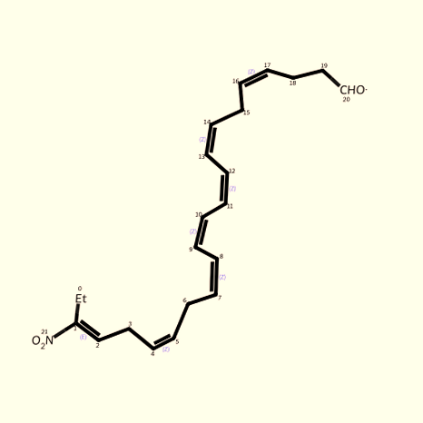 CC/C(=C\C/C=C\C\C=C/C=C\C=C/C=C\C/C=C\CC[C]=O)[N+](=O)[O-]